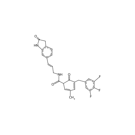 CC1=CC(C(=O)NC/C=C/c2ccc3c(c2)NC(=O)C3)C(=O)C(Cc2cc(F)c(F)c(F)c2)=C1